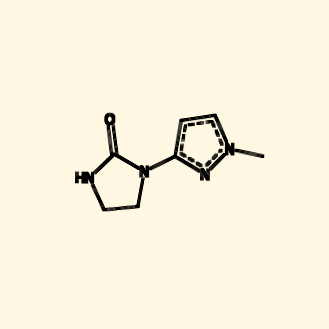 Cn1ccc(N2CCNC2=O)n1